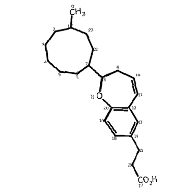 CC1CCCCCC(C2CC=Cc3cc(CCC(=O)O)ccc3O2)CC1